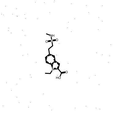 CCn1c(C(=O)O)cc2cc(CCS(=O)(=O)NC)ccc21